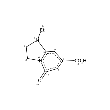 CCN1CCn2c1cc(C(=O)O)cc2=O